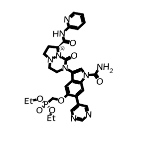 CCOP(=O)(COc1cc2c(N3CCN4CC[C@@H](C(=O)Nc5ccccn5)N4C3=O)cn(C(N)=O)c2cc1-c1cncnc1)OCC